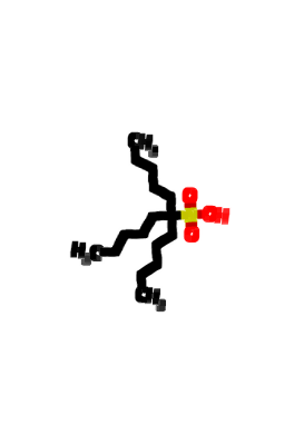 CCCCCC(CCCCC)(CCCCC)S(=O)(=O)O